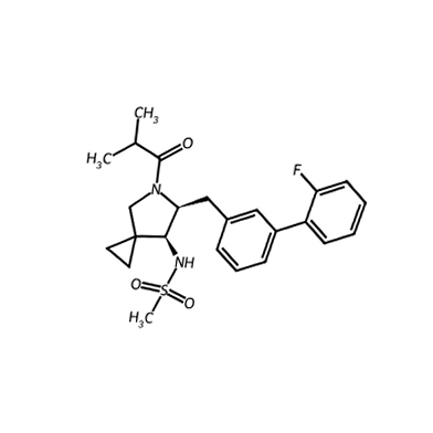 CC(C)C(=O)N1CC2(CC2)[C@H](NS(C)(=O)=O)[C@@H]1Cc1cccc(-c2ccccc2F)c1